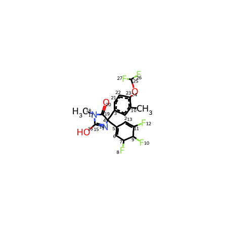 Cc1cc(C2(C3=CC(F)C(F)C(F)=C3)N=C(O)N(C)C2=O)ccc1OC(F)F